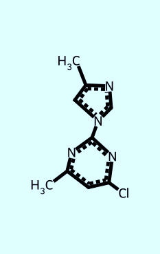 Cc1cn(-c2nc(C)cc(Cl)n2)cn1